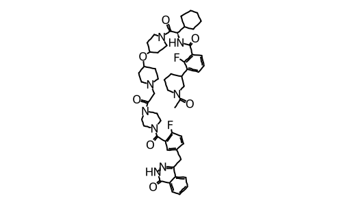 CC(=O)N1CCCC(c2cccc(C(=O)N[C@@H](C(=O)N3CCC(OC4CCN(CC(=O)N5CCN(C(=O)c6cc(Cc7n[nH]c(=O)c8ccccc78)ccc6F)CC5)CC4)CC3)C3CCCCC3)c2F)C1